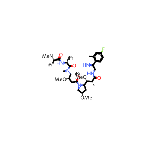 CC[C@H](C)[C@@H]([C@@H](CC(=O)N1C[C@H](OC)CC1[C@H](OC)[C@@H](C)C(=O)NCC(=N)c1ccc(F)cc1C)OC)N(C)C(=O)[C@@H](NC(=O)[C@@H](NC)C(C)C)C(C)C